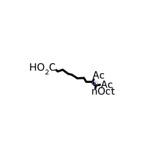 CCCCCCCC/C(C(C)=O)=C(\CCCCCCCC(=O)O)C(C)=O